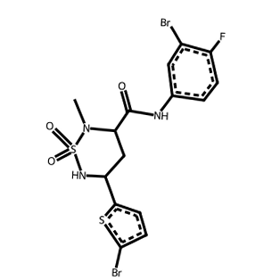 CN1C(C(=O)Nc2ccc(F)c(Br)c2)CC(c2ccc(Br)s2)NS1(=O)=O